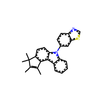 CC1=C(C)C(C)(C)c2ccc3c(c21)c1ccccc1n3-c1ccc2ncsc2c1